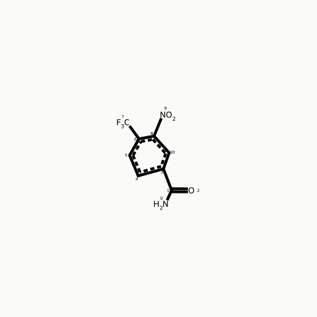 NC(=O)c1ccc(C(F)(F)F)c([N+](=O)[O-])c1